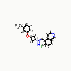 Fc1ccc2cnccc2c1CN[C@H]1C[C@H](Oc2cccc(C(F)(F)F)c2)C1